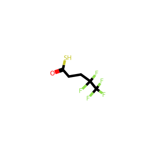 O=C(S)CCC(F)(F)C(F)(F)F